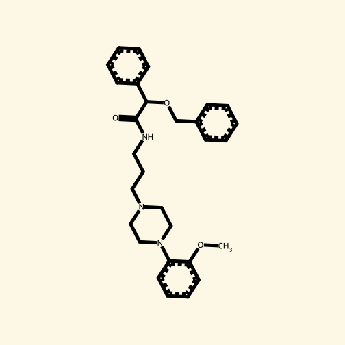 COc1ccccc1N1CCN(CCCNC(=O)C(OCc2ccccc2)c2ccccc2)CC1